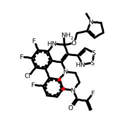 C=C(F)C(=O)N1CCN(C2=C(C3=CSSN3)C(N)(OCC3=CCCN3C)Nc3c(F)c(F)c(Cl)c(-c4ccccc4F)c32)CC1